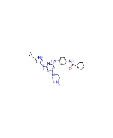 CN1CCN(c2nc(Nc3ccc(NC(=O)c4ccccc4)cc3)nc(Nc3cc(C4CC4)[nH]n3)n2)CC1